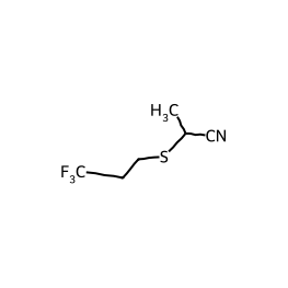 CC(C#N)SCCC(F)(F)F